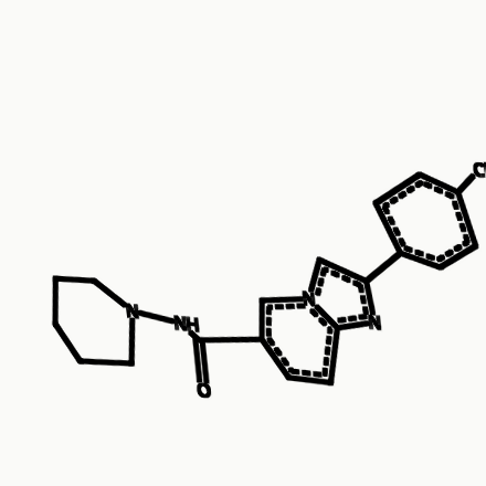 O=C(NN1CCCCC1)c1ccc2nc(-c3ccc(Cl)cc3)cn2c1